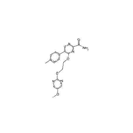 COc1cnc(OCCOc2nc(C(N)=O)n[c]c2-c2ccc(C)cc2)nc1